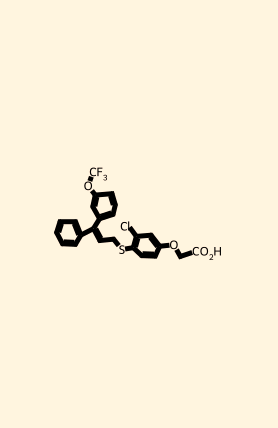 O=C(O)COc1ccc(SCC=C(c2ccccc2)c2cccc(OC(F)(F)F)c2)c(Cl)c1